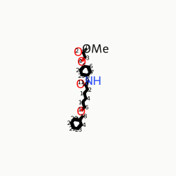 COC(=O)COc1ccc(NC(=O)CCCCCOCc2ccccc2)cc1